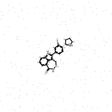 O=C1NOCc2c(-c3ccc([C@@H]4CCCN4)c(F)c3)[nH]c3cccc1c23